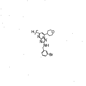 Cc1cc(C2CCOCC2)n2nc(NCc3cccc(Br)c3)nc2n1